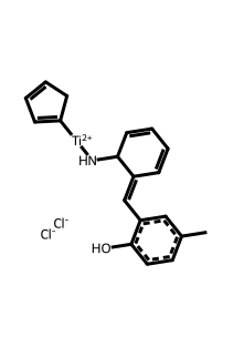 Cc1ccc(O)c(C=C2C=CC=CC2[NH][Ti+2][C]2=CC=CC2)c1.[Cl-].[Cl-]